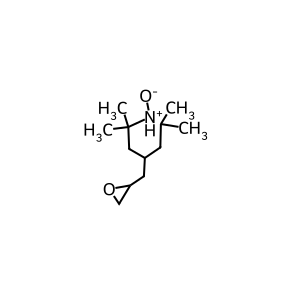 CC1(C)CC(CC2CO2)CC(C)(C)[NH+]1[O-]